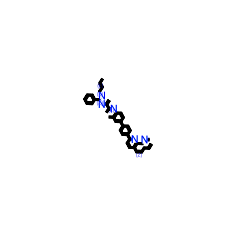 C=CC/C=C\c1ccc(-c2ccc(-c3ccc(/N=C(\C)C(=C)\N=C(/N=C/C=C/C)c4ccccc4)c(C)c3)cc2)nc1CN=C